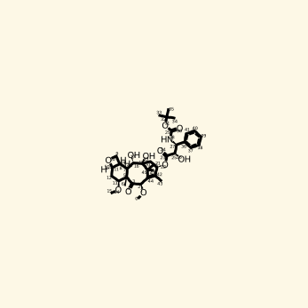 CO[C@H]1C(=O)[C@@]2(C)[C@@H]([C@@H]3CO[C@@H]3C[C@@H]2OC)[C@H](O)[C@]2(O)C[C@H](OC(=O)[C@H](O)[C@@H](NC(=O)OC(C)(C)C)c3ccccc3)C(C)=C1C2(C)C